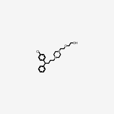 OCCOCCN1CCN(CCCC(c2ccccc2)c2ccc(Cl)cc2)CC1